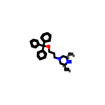 C[C@@H]1CN(CCCOC(c2ccccc2)(c2ccccc2)c2ccccc2)C[C@H](C)N1